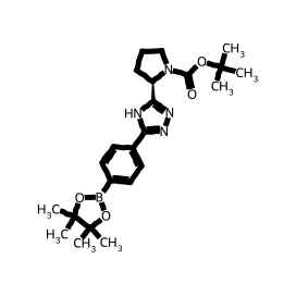 CC(C)(C)OC(=O)N1CCC[C@@H]1c1nnc(-c2ccc(B3OC(C)(C)C(C)(C)O3)cc2)[nH]1